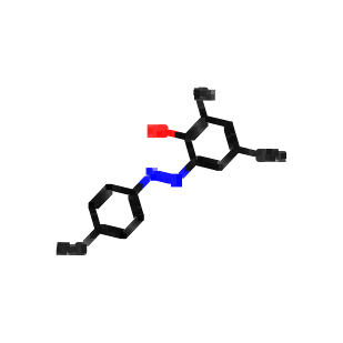 COc1ccc(N=Nc2cc(OC)cc(C(C)(C)C)c2O)cc1